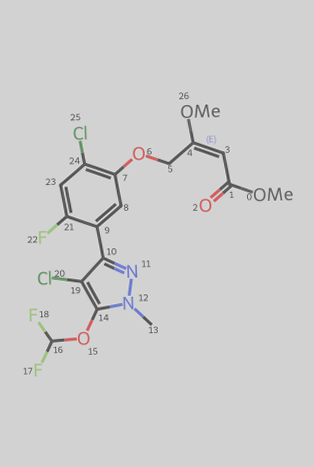 COC(=O)/C=C(\COc1cc(-c2nn(C)c(OC(F)F)c2Cl)c(F)cc1Cl)OC